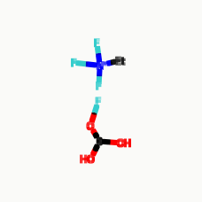 CC[N+](F)(F)F.OB(O)OF